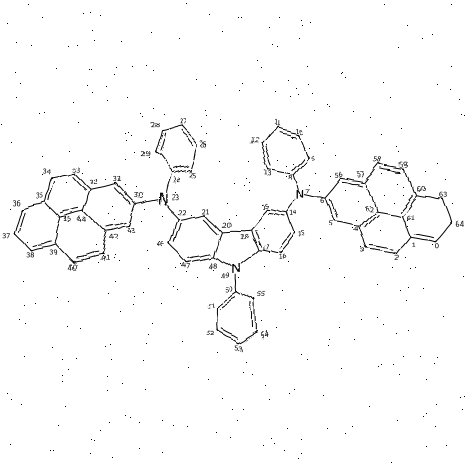 C1=c2ccc3cc(N(c4ccccc4)c4ccc5c(c4)c4cc(N(c6ccccc6)c6cc7ccc8cccc9ccc(c6)c7c89)ccc4n5-c4ccccc4)cc4ccc(c2c43)CC1